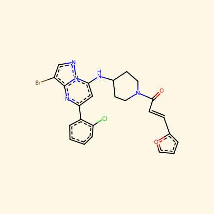 O=C(/C=C/c1ccco1)N1CCC(Nc2cc(-c3ccccc3Cl)nc3c(Br)cnn23)CC1